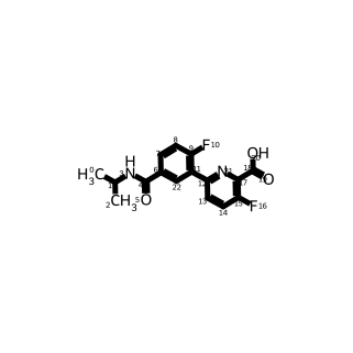 CC(C)NC(=O)c1ccc(F)c(-c2ccc(F)c(C(=O)O)n2)c1